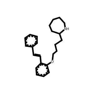 C(=Cc1ccccc1OCCCCC1CCCCCN1)c1ccccc1